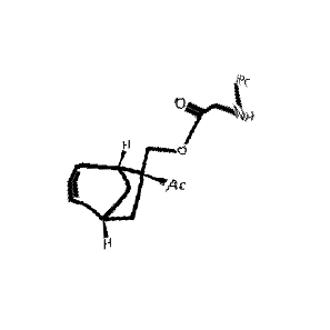 CC(=O)[C@@]1(COC(=O)NC(C)C)C[C@@H]2C=C[C@H]1C2